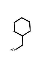 CCCCC1[C]CCCC1